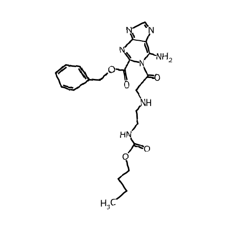 CCCCOC(=O)NCCNCC(=O)n1c(C(=O)OCc2ccccc2)nc2ncnc-2c1N